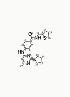 Cc1cc(Nc2ccc(C(=O)NCc3cccs3)cc2)nc(N2CCCC2)n1